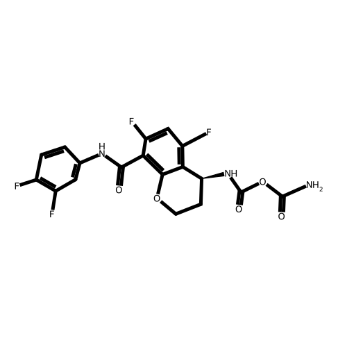 NC(=O)OC(=O)N[C@H]1CCOc2c(C(=O)Nc3ccc(F)c(F)c3)c(F)cc(F)c21